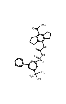 COC(=O)c1c2c(c(NC(=O)NS(=O)(=O)c3cc(-c4ccccc4)cc(C(C)(C)O)c3)c3c1CCC3)CCC2